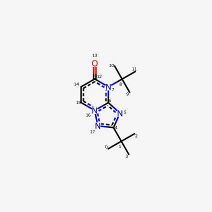 CC(C)(C)c1nc2n(C(C)(C)C)c(=O)ccn2n1